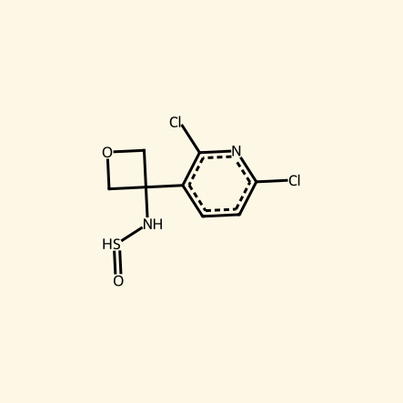 O=[SH]NC1(c2ccc(Cl)nc2Cl)COC1